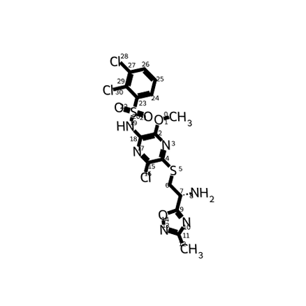 COc1nc(SC[C@H](N)c2nc(C)no2)c(Cl)nc1NS(=O)(=O)c1cccc(Cl)c1Cl